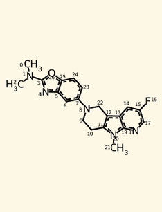 CN(C)c1nc2cc(N3CCc4c(c5cc(F)cnc5n4C)C3)ccc2o1